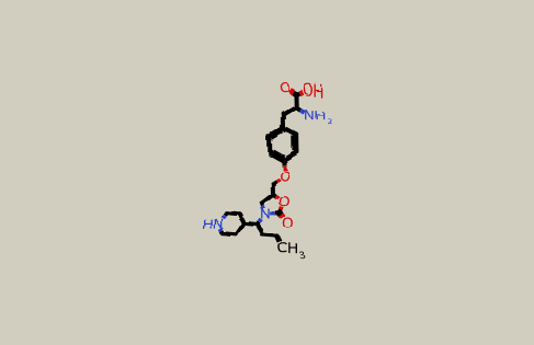 CCCC(C1CCNCC1)N1CC(COc2ccc(CC(N)C(=O)O)cc2)OC1=O